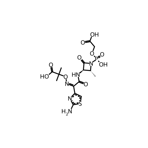 C[C@@H]1[C@@H](NC(=O)/C(=N\OC(C)(C)C(=O)O)c2csc(N)n2)C(=O)N1P(=O)(O)OCC(=O)O